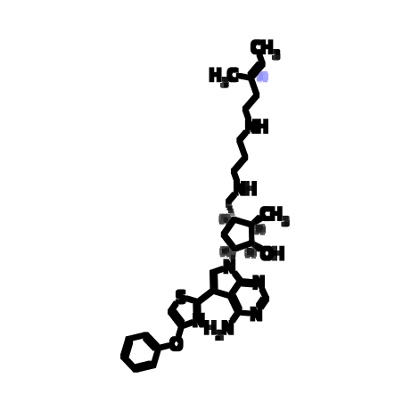 C/C=C(\C)CCNCCCNC[C@H]1C[C@@H](n2cc(-c3nc(Oc4ccccc4)cs3)c3c(N)ncnc32)[C@H](O)[C@@H]1C